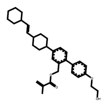 C=C(C)C(=O)OCc1cc(C2CCC(/C=C/C3CCCCC3)CC2)ccc1-c1ccc(OCCO)cc1